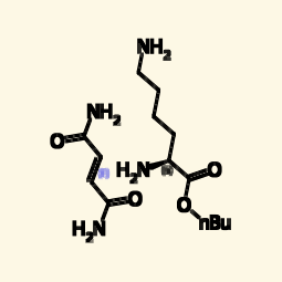 CCCCOC(=O)[C@@H](N)CCCCN.NC(=O)/C=C/C(N)=O